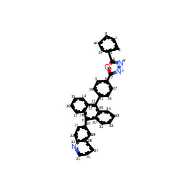 c1ccc(-c2nnc(-c3ccc(-c4c5ccccc5c(-c5ccc6ncccc6c5)c5ccccc45)cc3)o2)cc1